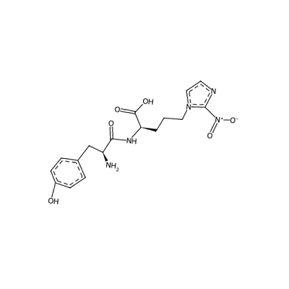 N[C@@H](Cc1ccc(O)cc1)C(=O)N[C@H](CCCn1ccnc1[N+](=O)[O-])C(=O)O